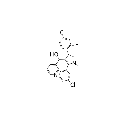 CN1CC(c2ccc(Cl)cc2F)C(C(O)c2cccnc2)=C1c1cccc(Cl)c1